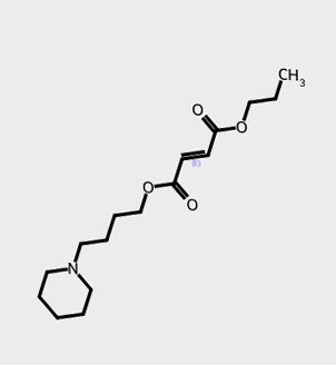 CCCOC(=O)/C=C/C(=O)OCCCCN1CCCCC1